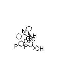 CC(C)(O)c1ccc(Oc2ccc(F)cc2F)c(S(=O)(=O)Nc2cc(C3CCCCC3)nc3c2CCCC3)c1